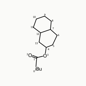 CCC(C)C(=O)OC1CCC2CCCCC2C1